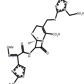 CO/N=C(\C(=O)NC1C(=O)N2C(C(=O)O)=C(CSc3nnnn3CS(=O)(=O)O)CS[C@H]12)c1csc(N)n1